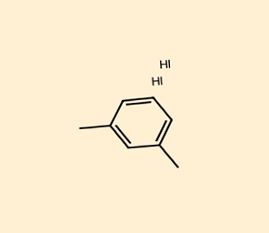 Cc1cccc(C)c1.I.I